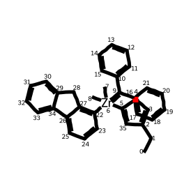 CCC1=CC[C]([Zr]([CH3])([CH3])(=[C](c2ccccc2)c2ccccc2)[c]2cccc3c2Cc2ccccc2-3)=C1